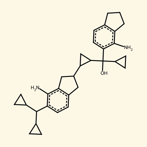 Nc1c(C(C2CC2)C2CC2)ccc2c1CC(C1CC1C(O)(c1ccc3c(c1N)CCC3)C1CC1)C2